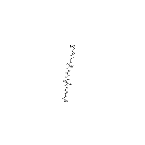 O=C(CCCCOCCO)NCCCCCCNC(=O)CCCCOCCO